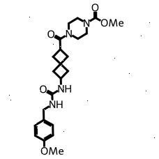 COC(=O)N1CCN(C(=O)C2CC3(CC(NC(=O)NCc4ccc(OC)cc4)C3)C2)CC1